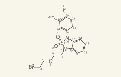 O=S1(=O)N(CCOCCBr)c2ccccc2N1c1ccc(F)c(F)c1